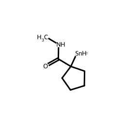 CNC(=O)[C]1([SnH])CCCC1